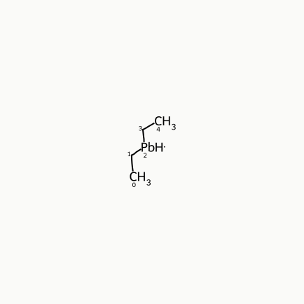 C[CH2][PbH][CH2]C